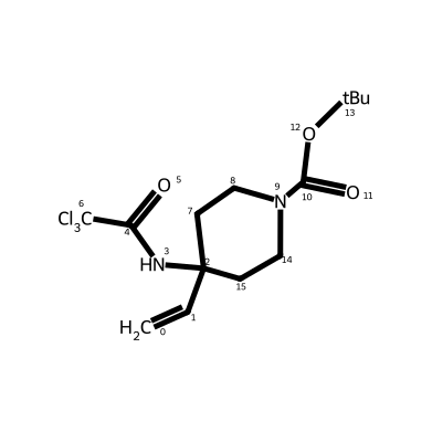 C=CC1(NC(=O)C(Cl)(Cl)Cl)CCN(C(=O)OC(C)(C)C)CC1